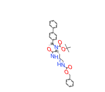 C[C@H](c1ccc(-c2ccccc2)cc1)N(C(=O)OC(C)(C)C)[C@H](CCCNC(=O)OCc1ccccc1)C(N)=O